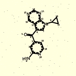 Nc1cc(C(=O)c2cn(C3CC3)c3ncncc23)ccn1